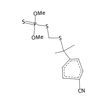 COP(=S)(OC)SCSC(C)(C)c1ccc(C#N)cc1